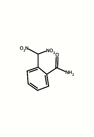 NC(=O)c1ccccc1C([N+](=O)[O-])[N+](=O)[O-]